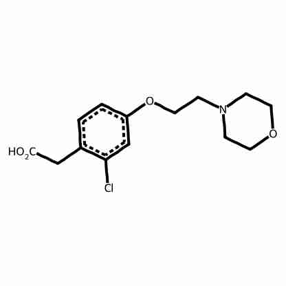 O=C(O)Cc1ccc(OCCN2CCOCC2)cc1Cl